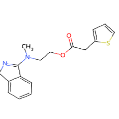 CN(CCOC(=O)Cc1cccs1)C1=NCc2ccccc21